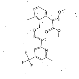 CO/N=C(/C(=O)OC)c1cccc(C)c1CO/N=C(\C)c1cc(C(F)(F)F)cc(C)n1